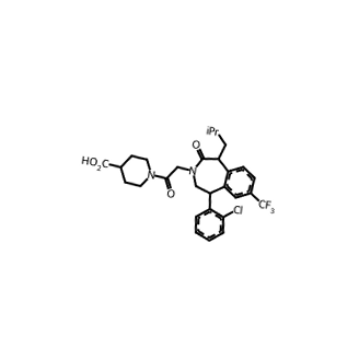 CC(C)CC1C(=O)N(CC(=O)N2CCC(C(=O)O)CC2)CC(c2ccccc2Cl)c2cc(C(F)(F)F)ccc21